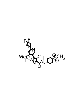 CCn1nc(C(=O)NC[C@H]2CC[C@H](S(C)(=O)=O)CC2)c(Cl)c1-c1cnc(N2CC(F)(F)C2)cc1OC